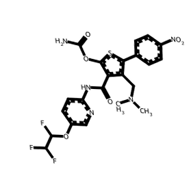 CN(C)Cc1c(-c2ccc([N+](=O)[O-])cc2)sc(OC(N)=O)c1C(=O)Nc1ccc(OC(F)C(F)F)cn1